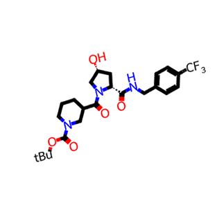 CC(C)(C)OC(=O)N1CCCC(C(=O)N2C[C@H](O)C[C@@H]2C(=O)NCc2ccc(C(F)(F)F)cc2)C1